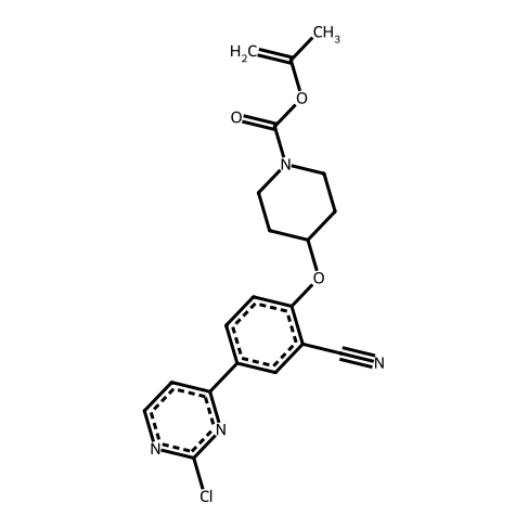 C=C(C)OC(=O)N1CCC(Oc2ccc(-c3ccnc(Cl)n3)cc2C#N)CC1